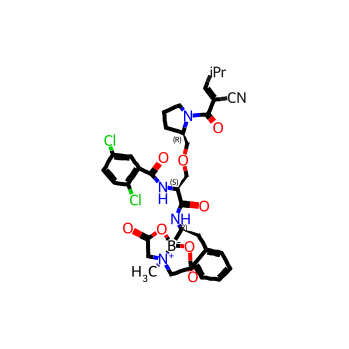 CC(C)C=C(C#N)C(=O)N1CCC[C@@H]1COC[C@H](NC(=O)c1cc(Cl)ccc1Cl)C(=O)N[C@@H](Cc1ccccc1)[B-]12OC(=O)C[N+]1(C)CC(=O)O2